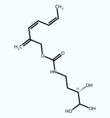 C=C(/C=C\C=C/C)COC(=O)NCC[C@H](O)C(O)O